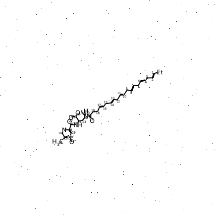 CCC=CCC=CCC=CCC=CCC=CCC=CCCC(=O)NCC(NC(=O)c1c[n+]([O-])c(C)cn1)C(=O)OC